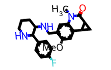 COc1cc2c(cc1CNC1CCCNC1c1ccc(F)cc1)N(C)C(=O)C1CC21